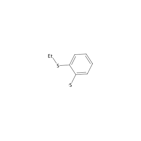 CCSc1ccccc1[S]